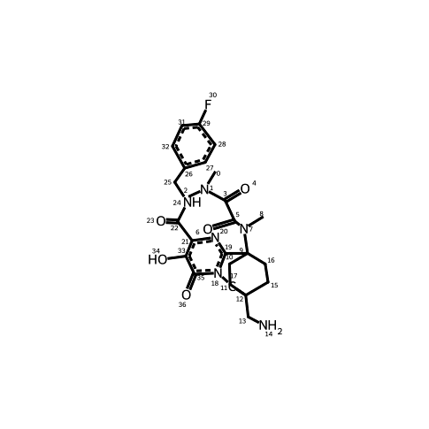 CN(C)C(=O)C(=O)N(C)C12CCC(CN)(CC1)Cn1c2nc(C(=O)NCc2ccc(F)cc2)c(O)c1=O